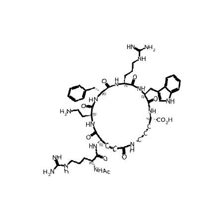 CC(=O)N[C@H](CCCNC(=N)N)C(=O)N[C@H]1CCC(=O)NCCC[C@@H](C(=O)O)NC(=O)[C@H](Cc2c[nH]c3ccccc23)NC(=O)[C@H](CCCNC(=N)N)NC(=O)[C@@H](Cc2ccccc2)NC(=O)[C@H](CCN)NC1=O